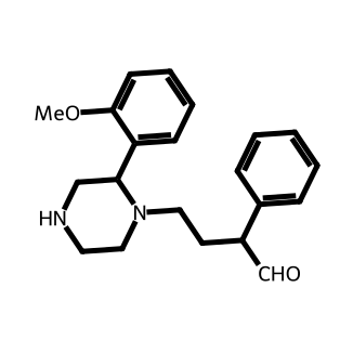 COc1ccccc1C1CNCCN1CCC(C=O)c1ccccc1